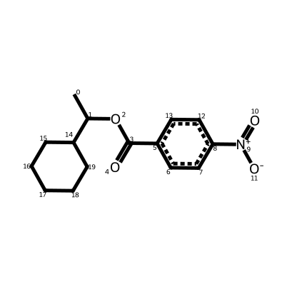 CC(OC(=O)c1ccc([N+](=O)[O-])cc1)C1CCCCC1